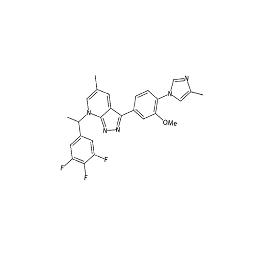 COc1cc(-c2nnc3n(C(C)c4cc(F)c(F)c(F)c4)cc(C)cc2-3)ccc1-n1cnc(C)c1